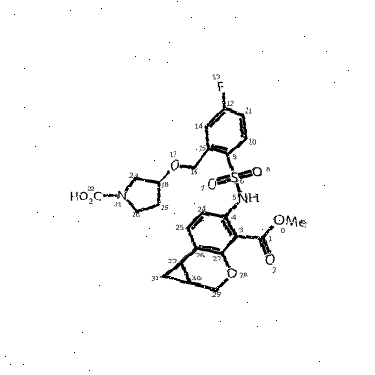 COC(=O)c1c(NS(=O)(=O)c2ccc(F)cc2CO[C@H]2CCN(C(=O)O)C2)ccc2c1OCC1CC21